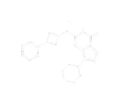 C[C@H](c1nc2c(cnn2C2CCOCC2)c(=O)[nH]1)N1CC(c2cnccn2)C1